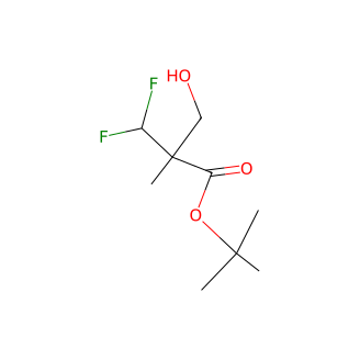 CC(C)(C)OC(=O)C(C)(CO)C(F)F